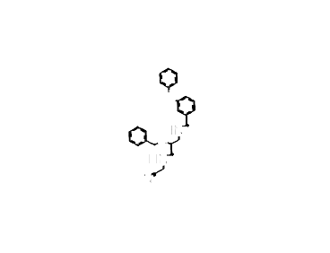 N#CCNC(=O)C(CNC(=O)c1cccc(Oc2ccccc2)c1)SCc1ccccc1